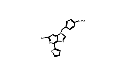 COc1ccc(Cn2cnc3c(-c4ccco4)nc(C(C)=O)nc32)cc1